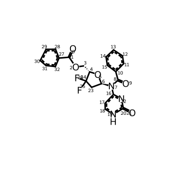 O=C(OC[C@@H]1O[C@@H](N(C(=O)c2ccccc2)c2cc[nH]c(=O)n2)CC1(F)F)c1ccccc1